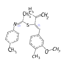 C=C(C)/C(=C/c1ccc(C)c(OC)c1)S/C(C)=N\c1ccc(C)cc1